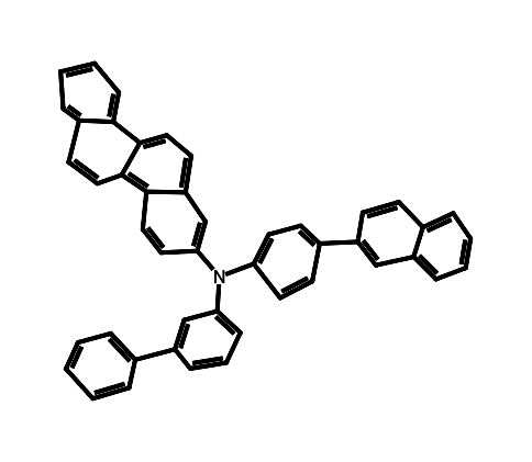 c1ccc(-c2cccc(N(c3ccc(-c4ccc5ccccc5c4)cc3)c3ccc4c(ccc5c6ccccc6ccc45)c3)c2)cc1